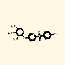 CC(=O)O[C@@H]1[C@@H](OC(C)=O)[C@H](OC(C)=O)CS[C@H]1Oc1ccc(S(=O)(=O)c2ccc(C#N)cc2)nc1